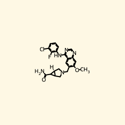 COc1cc2ncnc(Nc3cccc(Cl)c3F)c2cc1CN1CC2C(C(N)=O)[C@H]2C1